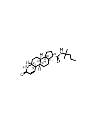 CCCC(C)(C)NC(=O)[C@H]1CC[C@H]2[C@@H]3CC[C@H]4NC(=O)C=C[C@]4(C)[C@H]3CC[C@]12C